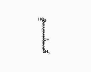 CCCCCCCCCCC(O)CCCCCCCCCCCCCCCC(=O)O